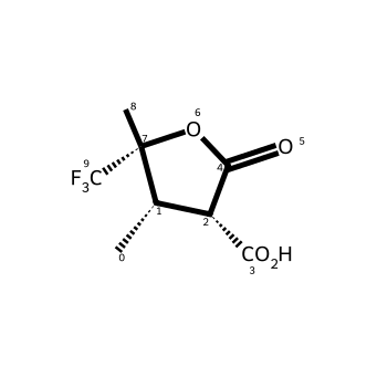 C[C@H]1[C@@H](C(=O)O)C(=O)O[C@@]1(C)C(F)(F)F